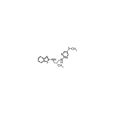 CSc1cnc(NC[C@H](C)CNc2nc3ccccc3s2)nc1